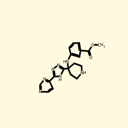 COC(=O)c1cccc(NC2(c3nnc(-c4ccncn4)[nH]3)CCNCC2)c1